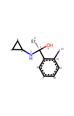 CC[C@@](O)(NC1CC1)c1ccccc1I